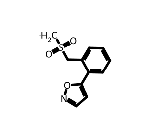 [CH2]S(=O)(=O)Cc1ccccc1-c1ccno1